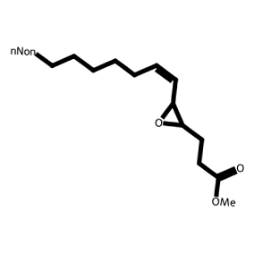 CCCCCCCCCCCCCC/C=C\C1OC1CCC(=O)OC